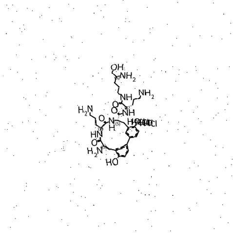 Cl.Cl.Cl.Cl.NCCC[C@H](NC(=O)[C@@H]1Cc2cc(ccc2O)-c2ccc(O)c(c2)C[C@H](N)C(=O)N[C@@H](CCCN)C(=O)N1)C(=O)NCCC[C@H](N)CO